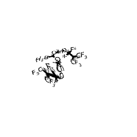 BC([O][Zn][O]C(F)(F)C(C(F)(F)F)C(F)(F)F)[O][Zn][O]C(F)(F)C(C(F)(F)F)C(F)(F)F